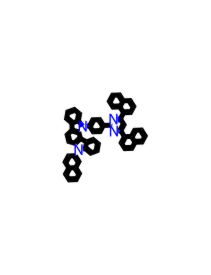 c1ccc2cc(-n3c4ccccc4c4c3ccc3c5ccccc5n(-c5ccc(-c6nc(-c7cccc8ccccc78)cc(-c7cccc8ccccc78)n6)cc5)c34)ccc2c1